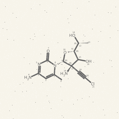 Cc1cc(N)nc(=O)n1[C@@H]1O[C@H]([C@@H](C)O)C(O)[C@]1(N)C#CCl